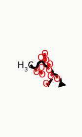 CCC1OC(=O)OC1CC1OC(=O)OC1CC(=O)OCC(COCC1CC1)OCC1CO1